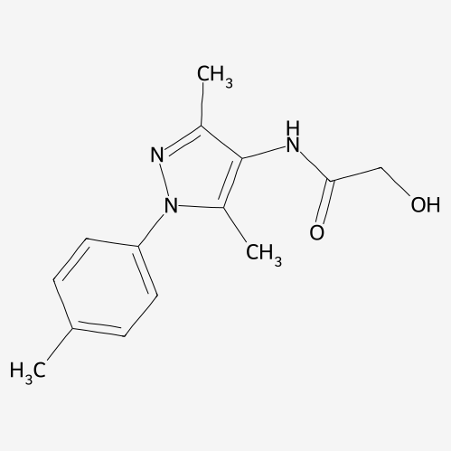 Cc1ccc(-n2nc(C)c(NC(=O)CO)c2C)cc1